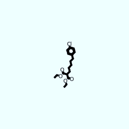 CCOC(=O)C(CCCCCc1ccc(Cl)cc1)C(=O)OCC